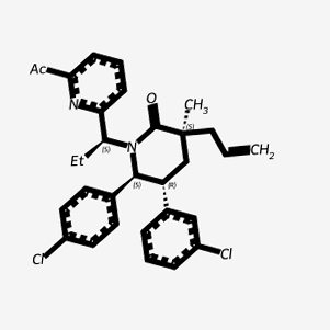 C=CC[C@@]1(C)C[C@H](c2cccc(Cl)c2)[C@@H](c2ccc(Cl)cc2)N([C@@H](CC)c2cccc(C(C)=O)n2)C1=O